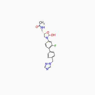 CC(=O)NC[C@H]1CN(c2ccc(-c3ccc(Cn4cncn4)cc3)c(F)c2)C(O)O1